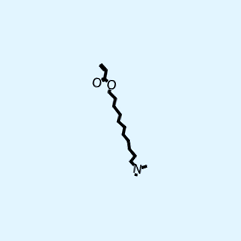 C=CC(=O)OCCCCCCCCCCCN(C)C